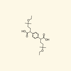 CCOC(C)(C)CCC(C(=O)O)c1ccc(C(CCC(C)(C)OCC)C(=O)O)cc1